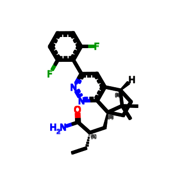 CC[C@@H](C[C@@]12CC[C@@H](c3cc(-c4c(F)cccc4F)nnc31)C2(C)C)C(N)=O